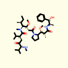 CC[C@H](C)[C@@H]([C@@H](CC(=O)N1CCCC1[C@H](OC)[C@@H](C)C(=O)N[C@H](C)[C@@H](O)c1ccccc1)OC)N(C)C(=O)[C@@H](CC(=O)[C@@H](NC)C(C)C)C(C)C